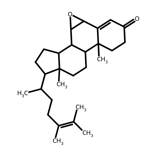 CC(C)=C(C)CCC(C)C1CCC2C3C4OC4C4=CC(=O)CCC4(C)C3CCC12C